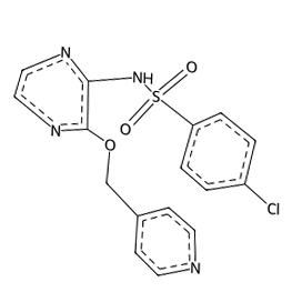 O=S(=O)(Nc1nccnc1OCc1ccncc1)c1ccc(Cl)cc1